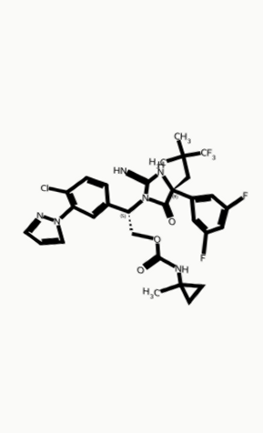 CC1(NC(=O)OC[C@H](c2ccc(Cl)c(-n3cccn3)c2)N2C(=N)N[C@](CC(C)(C)C(F)(F)F)(c3cc(F)cc(F)c3)C2=O)CC1